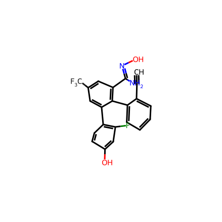 C#Cc1ccccc1-c1c(/C(N)=N/O)cc(C(F)(F)F)cc1-c1ccc(O)cc1F